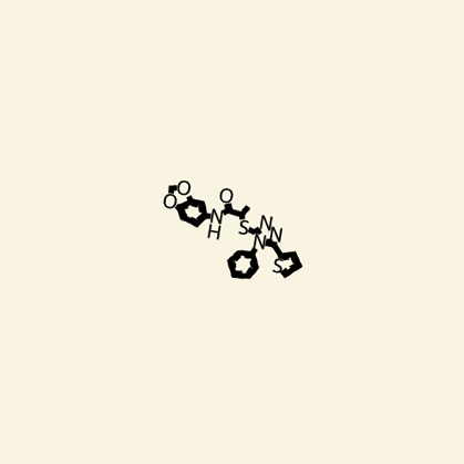 CC(Sc1nnc(-c2cccs2)n1-c1ccccc1)C(=O)Nc1ccc2c(c1)OCO2